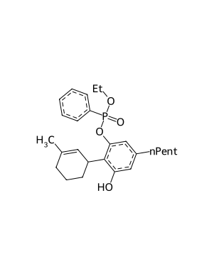 CCCCCc1cc(O)c(C2C=C(C)CCC2)c(OP(=O)(OCC)c2ccccc2)c1